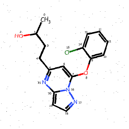 CC(O)CCc1cc(Oc2ccccc2Cl)n2nccc2n1